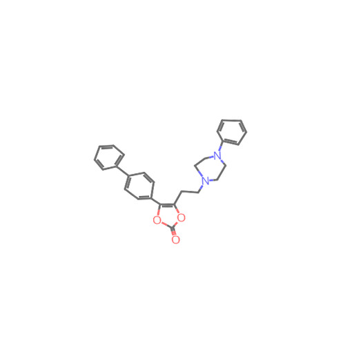 O=c1oc(CCN2CCN(c3ccccc3)CC2)c(-c2ccc(-c3ccccc3)cc2)o1